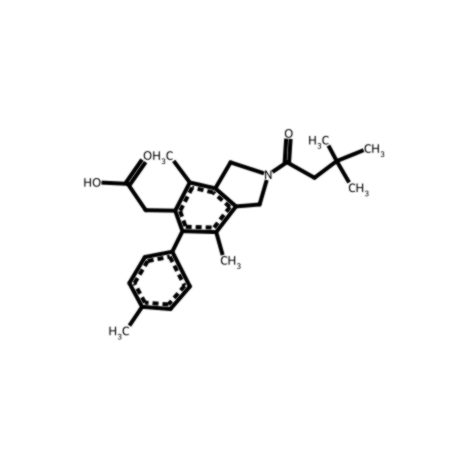 Cc1ccc(-c2c(C)c3c(c(C)c2CC(=O)O)CN(C(=O)CC(C)(C)C)C3)cc1